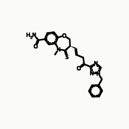 CN1C(=S)[C@@H](/C=C/CC(=O)c2ncn(Cc3ccccc3)n2)COc2ccc(C(N)=O)cc21